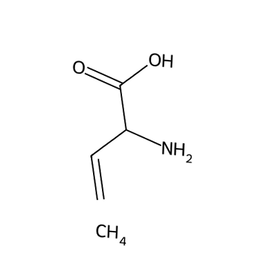 C.C=CC(N)C(=O)O